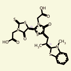 C/C(C=c1s/c(=C2/SC(=S)N(CC(=O)O)C2=O)n(CC(=O)O)c1=O)=C1\Sc2ccccc2N1C